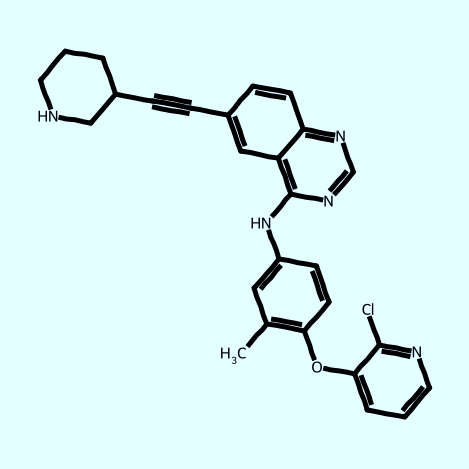 Cc1cc(Nc2ncnc3ccc(C#CC4CCCNC4)cc23)ccc1Oc1cccnc1Cl